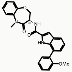 COc1ccccc1-c1cccc2cc(C(=O)N[C@H]3COc4ccccc4N(C)C3=O)[nH]c12